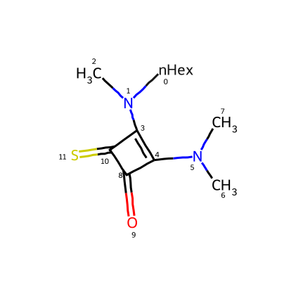 CCCCCCN(C)c1c(N(C)C)c(=O)c1=S